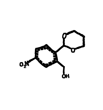 O=[N+]([O-])c1ccc(C2OCCCO2)c(CO)c1